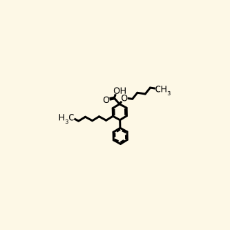 CCCCCCC1=CC(OCCCCC)(C(=O)O)C=CC1c1ccccc1